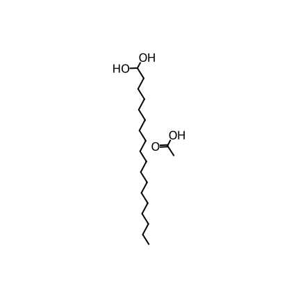 CC(=O)O.CCCCCCCCCCCCCCCCCC(O)O